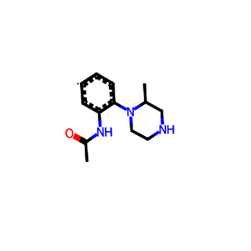 CC(=O)Nc1c[c]ccc1N1CCNCC1C